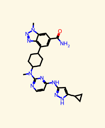 CN(c1nccc(Nc2cc(C3CC3)[nH]n2)n1)C1CCC(c2cc(C(N)=O)cc3c2nnn3C)CC1